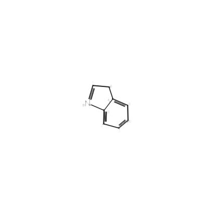 [c]1ccc2c(c1)CC=N2